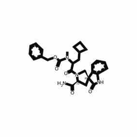 CN(C(=O)OCc1ccccc1)C(CC1CCC1)C(=O)N1C[C@]2(C[C@H]1C(N)=O)C(=O)Nc1ccccc12